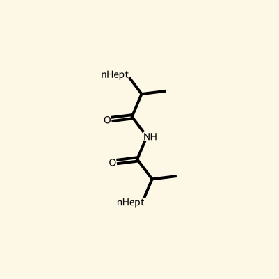 CCCCCCCC(C)C(=O)NC(=O)C(C)CCCCCCC